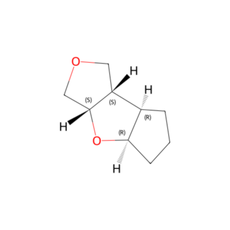 C1C[C@@H]2[C@H]3COC[C@H]3O[C@@H]2C1